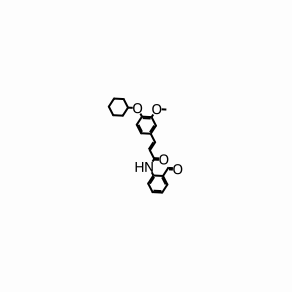 COc1cc(/C=C/C(=O)Nc2ccccc2C=O)ccc1OC1CCCCC1